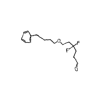 O=CCCC(F)(F)CCOCCCCc1ccccc1